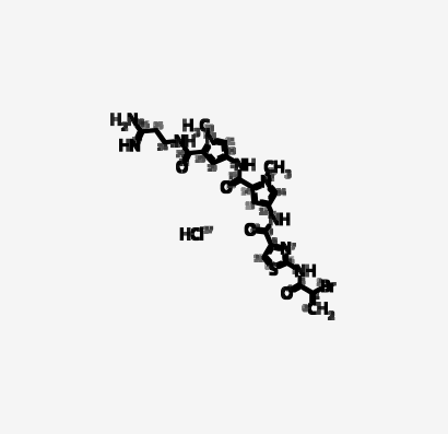 C=C(Br)C(=O)Nc1nc(C(=O)Nc2cc(C(=O)Nc3cc(C(=O)NCCC(=N)N)n(C)c3)n(C)c2)cs1.Cl